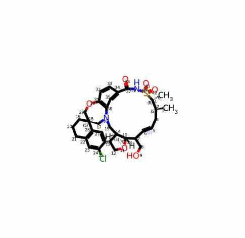 C[C@@H]1[C@@H](C)C/C=C/C(CO)[C@@H]2OCC[C@H]2CN2C[C@@]3(CCCc4cc(Cl)ccc43)COc3ccc(cc32)C(=O)NS1(=O)=O